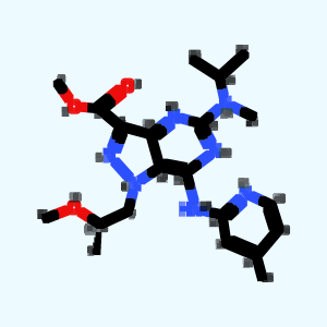 COC(=O)c1nn(C[C@H](C)OC)c2c(Nc3cc(C)ccn3)nc(N(C)C(C)C)nc12